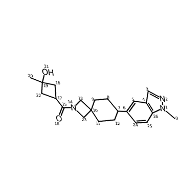 Cn1ncc2cc(C3CCC4(CC3)CN(C(=O)C3CC(C)(O)C3)C4)ccc21